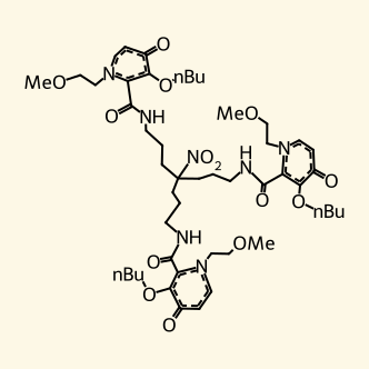 CCCCOc1c(C(=O)NCCCC(CCCNC(=O)c2c(OCCCC)c(=O)ccn2CCOC)(CCCNC(=O)c2c(OCCCC)c(=O)ccn2CCOC)[N+](=O)[O-])n(CCOC)ccc1=O